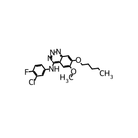 CCCCCOc1cc2nnnc(Nc3ccc(F)c(Cl)c3)c2cc1OC